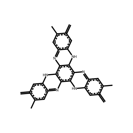 C=c1cc2c(cc1C)=Nc1c(c3c(c4c1Nc1cc(=C)c(C)cc1=N4)Nc1cc(=C)c(C)cc1=N3)N2